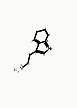 NCCC1=CN=C2CCCC=C12